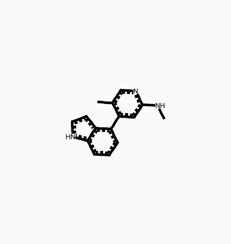 CNc1cc(-c2cccc3[nH]ccc23)c(C)cn1